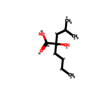 CCCCC(O)(CC(C)C)C(=O)O